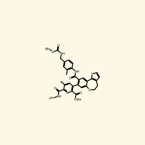 CCCNC(=O)c1nc(C(=O)OC)c(-c2cc3c(cc2C(=O)Nc2ccc(CNC(=O)OC(C)(C)C)cc2C)-c2sccc2CCO3)cc1C